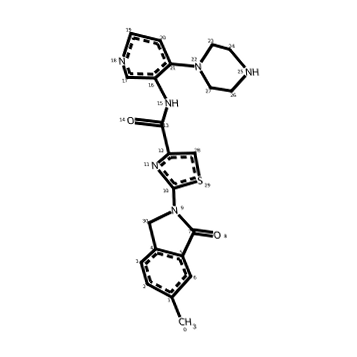 Cc1ccc2c(c1)C(=O)N(c1nc(C(=O)Nc3cnccc3N3CCNCC3)cs1)C2